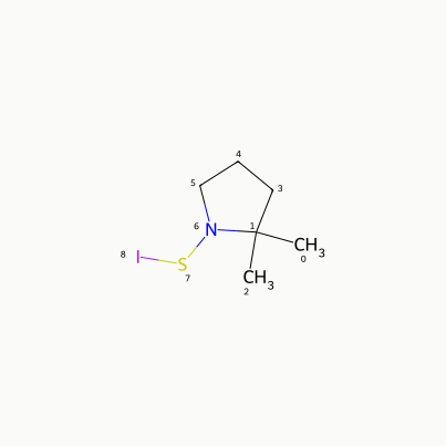 CC1(C)CCCN1SI